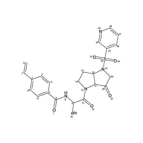 C=Cc1ccc(C(=O)NC(CCC)C(=O)N2CCC3C2C(=O)CN3S(=O)(=O)c2cccnc2)cc1